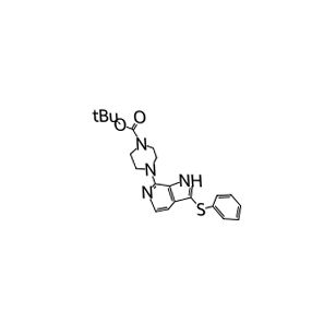 CC(C)(C)OC(=O)N1CCN(c2nccc3c(Sc4ccccc4)c[nH]c23)CC1